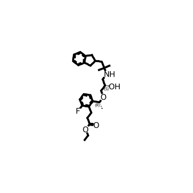 CCOC(=O)CCc1c(F)cccc1[C@@H](C)OC[C@@H](O)CNC(C)(C)CC1Cc2ccccc2C1